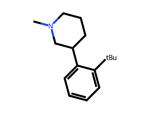 CN1CCCC(c2ccccc2C(C)(C)C)C1